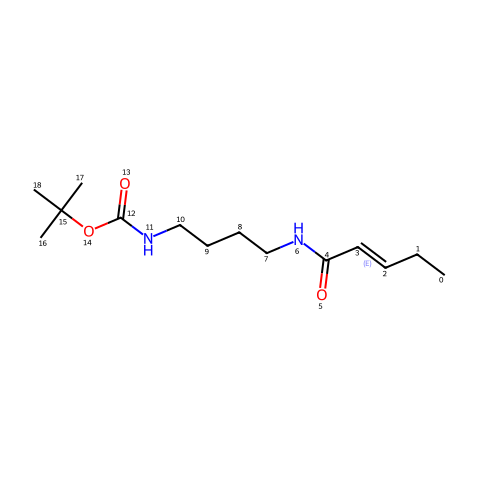 CC/C=C/C(=O)NCCCCNC(=O)OC(C)(C)C